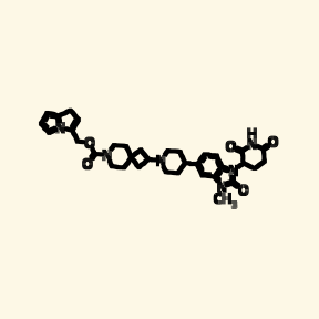 Cn1c(=O)n(C2CCC(=O)NC2=O)c2ccc(C3CCN(C4CC5(CCN(C(=O)OCC6=CCc7cccn76)CC5)C4)CC3)cc21